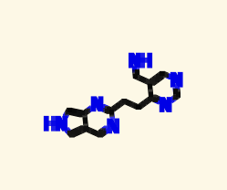 N=Cc1cncnc1CCc1ncc2c[nH]cc2n1